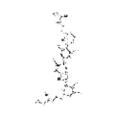 CC(=N)NCC[C@@H]1CCC[C@@H](c2c(F)cc(-n3cc4cc(-c5cc(CCC[C@@H](N)CO)cc(Cl)c5F)[nH]c4nc3=O)cc2F)N1